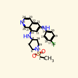 CCS(=O)(=O)N1CCC(Nc2cc(Nc3ccc(F)cc3)cc3ccncc23)CC1